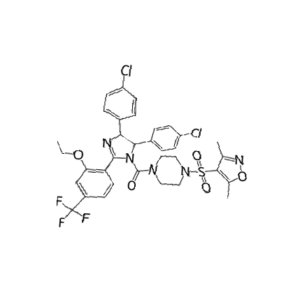 CCOc1cc(C(F)(F)F)ccc1C1=NC(c2ccc(Cl)cc2)C(c2ccc(Cl)cc2)N1C(=O)N1CCN(S(=O)(=O)c2c(C)noc2C)CC1